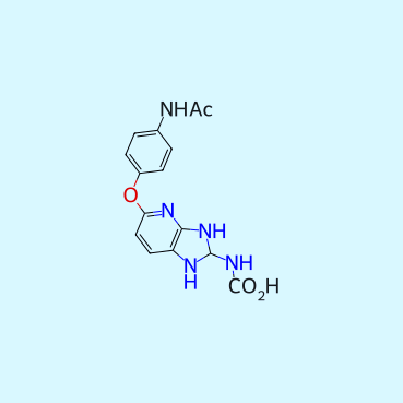 CC(=O)Nc1ccc(Oc2ccc3c(n2)NC(NC(=O)O)N3)cc1